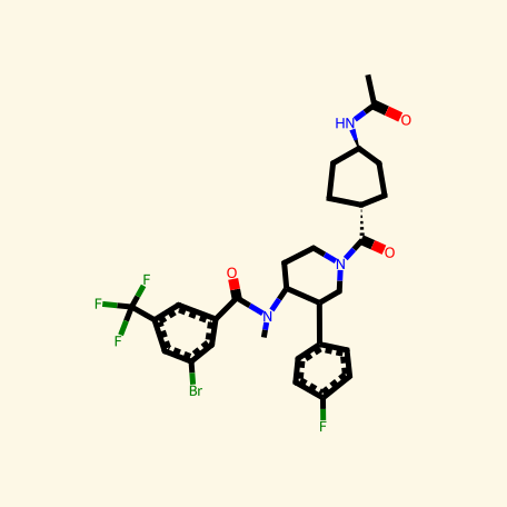 CC(=O)N[C@H]1CC[C@H](C(=O)N2CCC(N(C)C(=O)c3cc(Br)cc(C(F)(F)F)c3)C(c3ccc(F)cc3)C2)CC1